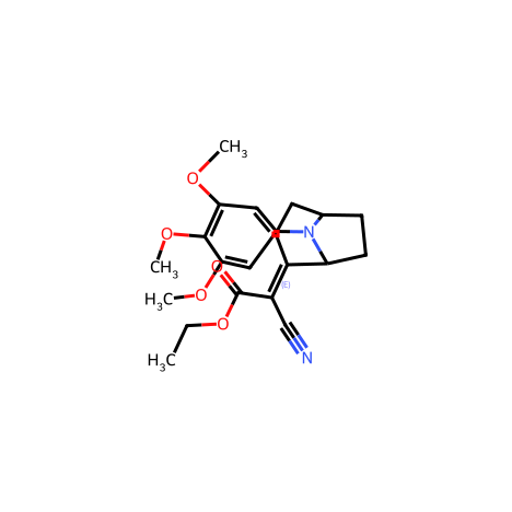 CCOC(=O)/C(C#N)=C1\CCC2CCC1N2c1cc(OC)c(OC)c(OC)c1